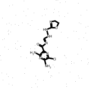 Nc1nc(N)c(C(=O)N=CNNC2=NCCO2)nc1Cl